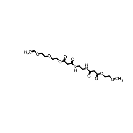 C=COCCOCCOC(=O)CC(=O)NCCNC(=O)CC(=O)OCCOC